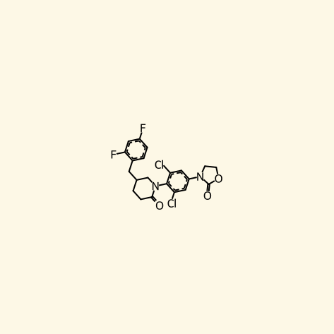 O=C1OCCN1c1cc(Cl)c(N2CC(Cc3ccc(F)cc3F)CCC2=O)c(Cl)c1